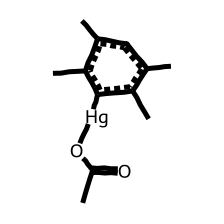 CC(=O)[O][Hg][c]1c(C)c(C)cc(C)c1C